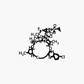 C[C@@H]1C[C@H]2CCCCCc3nc4ccc(Cl)cc4nc3O[C@H]3CN(C(=O)[C@H](C(C)(C)C)NC(=O)O[C@@H]2C1)[C@H](C(=O)N[C@]1(C(=O)NS(=O)(=O)C2CC2)C[C@H]1C(F)F)[C@@H]3C